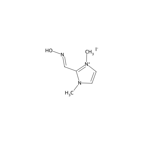 Cn1cc[n+](C)c1/C=N/O.[I-]